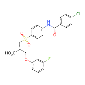 O=C(Nc1ccc(S(=O)(=O)CC(COc2cccc(F)c2)C(=O)O)cc1)c1ccc(Cl)cc1